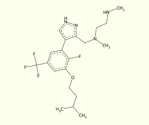 CNCCN(C)Cc1n[nH]cc1-c1cc(C(F)(F)F)cc(OCCC(C)C)c1F